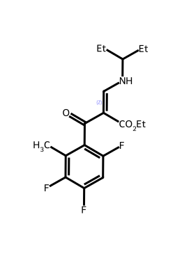 CCOC(=O)/C(=C\NC(CC)CC)C(=O)c1c(F)cc(F)c(F)c1C